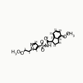 COCCn1cc(S(=O)(=O)NC(=O)C2CCc3c(OC)cccc32)cn1